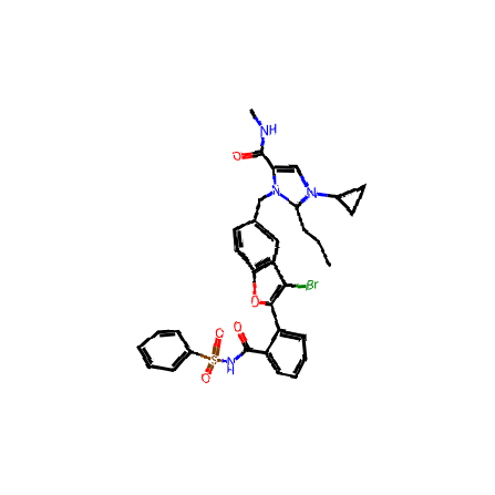 CCCC1N(Cc2ccc3oc(-c4ccccc4C(=O)NS(=O)(=O)c4ccccc4)c(Br)c3c2)C(C(=O)NC)=CN1C1CC1